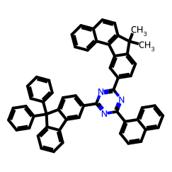 CC1(C)c2ccc(-c3nc(-c4ccc5c(c4)-c4ccccc4C5(c4ccccc4)c4ccccc4)nc(-c4cccc5ccccc45)n3)cc2-c2c1ccc1ccccc21